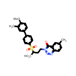 COc1ccc(-c2ccc(S(=O)(=O)C(CCn3nnc4ccc(C)cc4c3=O)C(=O)O)cc2)cc1C